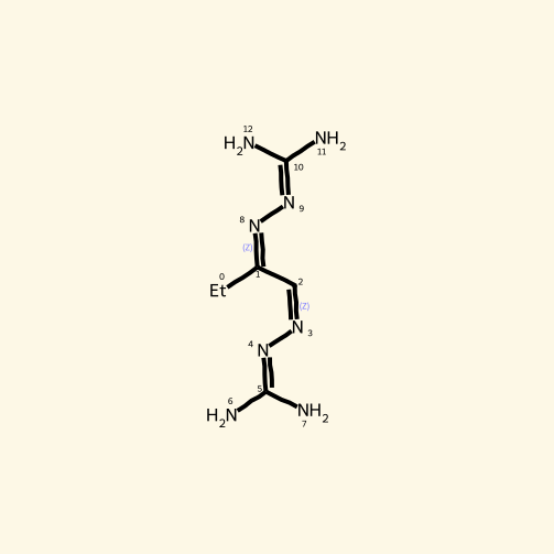 CCC(/C=N\N=C(N)N)=N/N=C(N)N